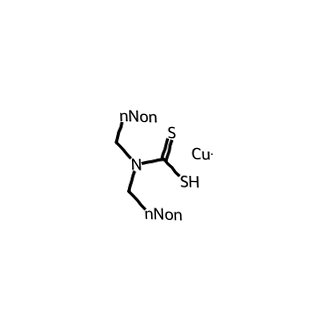 CCCCCCCCCCN(CCCCCCCCCC)C(=S)S.[Cu]